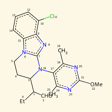 CCC(C=O)C1CCn2c(nc3c(Cl)cccc32)N1c1c(C)nc(OC)nc1C